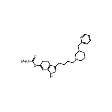 COC(=O)Oc1ccc2c(CCCCN3CCCC(Cc4ccccc4)C3)c[nH]c2c1